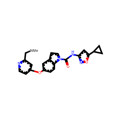 CNCc1cc(Oc2ccc3c(ccn3C(=O)Nc3cc(C4CC4)on3)c2)ccn1